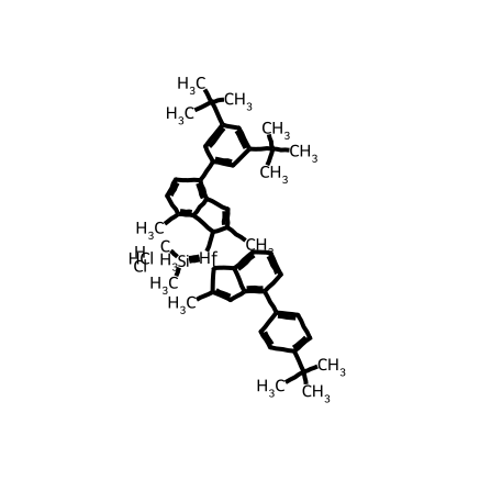 CC1=Cc2c(-c3ccc(C(C)(C)C)cc3)cccc2[CH]1[Hf]([CH]1C(C)=Cc2c(-c3cc(C(C)(C)C)cc(C(C)(C)C)c3)ccc(C)c21)=[Si](C)C.Cl.Cl